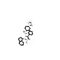 CCN1C(C)=C(c2ccccc2)C(OS(=O)(=O)c2ccc(S(=O)(=O)C(F)(F)F)cc2)N1c1cccc2ccccc12